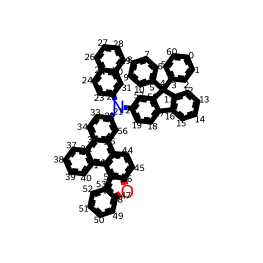 c1ccc(C2(c3ccccc3)c3ccccc3-c3ccc(N(c4ccc5ccccc5c4)c4ccc5c6ccccc6c6c(ccc7oc8ccccc8c76)c5c4)cc32)cc1